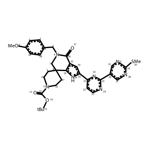 COc1ccc(CN2CC3(CCN(C(=O)OC(C)(C)C)CC3)c3[nH]c(-c4ccnc(-c5cnc(SC)nc5)n4)cc3C2=O)cc1